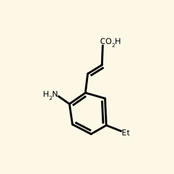 CCc1ccc(N)c(C=CC(=O)O)c1